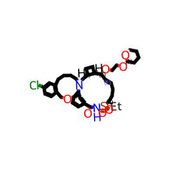 CC[C@@H]1CC/C=C/[C@H](OCCO[C@H]2CCCCO2)[C@@H]2CC[C@H]2CN2CCCCc3cc(Cl)ccc3COc3ccc(cc32)C(=O)NS1(=O)=O